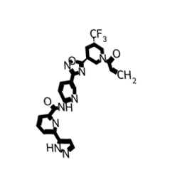 C=CC(=O)N1C[C@@H](c2nc(-c3ccc(NC(=O)c4cccc(-c5ccn[nH]5)n4)nc3)no2)C[C@H](C(F)(F)F)C1